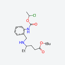 CCC(CCC(=O)OC(C)(C)C)NCc1ccccc1NC(=O)OC(C)Cl